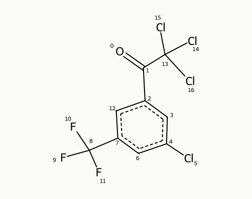 O=C(c1cc(Cl)cc(C(F)(F)F)c1)C(Cl)(Cl)Cl